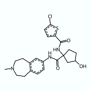 CN1CCc2ccc(NC(=O)C3(NC(=O)c4ccc(Cl)s4)CCC(O)C3)cc2CC1